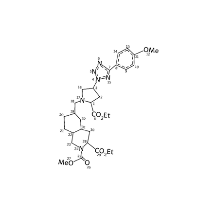 CCOC(=O)C1CC(n2nnc(-c3ccc(OC)cc3)n2)CN1CC1CCC2CN(C(=O)OC)C(C(=O)OCC)CC2C1